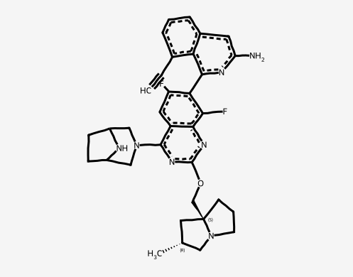 C#Cc1cccc2cc(N)nc(-c3c(F)cc4c(N5CC6CCC(C5)N6)nc(OC[C@@]56CCCN5C[C@H](C)C6)nc4c3F)c12